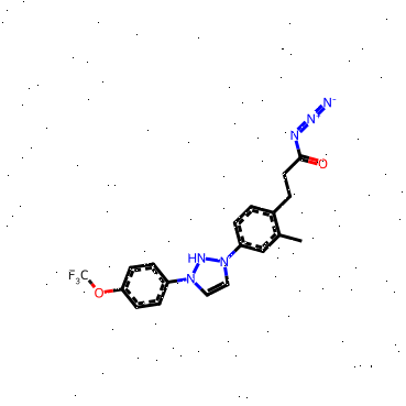 Cc1cc(N2C=CN(c3ccc(OC(F)(F)F)cc3)N2)ccc1CCC(=O)N=[N+]=[N-]